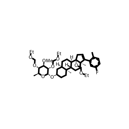 CCOCO[C@@H]1[C@H](O[C@H]2CC[C@@]3(C)[C@H](CC[C@@H]4[C@@H]3CC[C@]3(C)C(c5cc(F)ccc5C)=CC[C@]43OCOCC)C2)O[C@@H](C)[C@H](OCOCC)[C@H]1OC